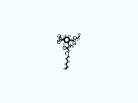 C=CCCCCOCC(=O)N(C)c1cc([N+](=O)[O-])ccc1C(=O)OCC